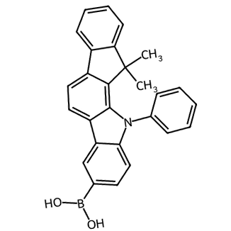 CC1(C)c2ccccc2-c2ccc3c4cc(B(O)O)ccc4n(-c4ccccc4)c3c21